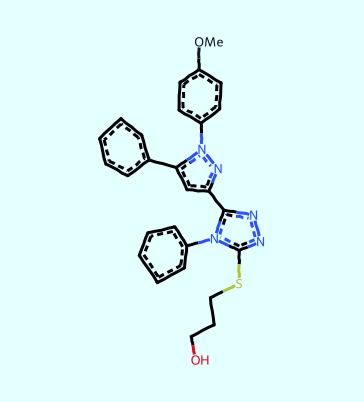 COc1ccc(-n2nc(-c3nnc(SCCCO)n3-c3ccccc3)cc2-c2ccccc2)cc1